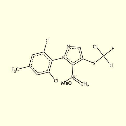 C=[N+](OC)c1c(SC(F)(Cl)Cl)cnn1-c1c(Cl)cc(C(F)(F)F)cc1Cl